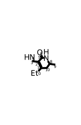 CCC1=C(C=N)C(=O)NC(C)C1